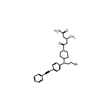 CC(C)CCN(c1ccc(C#Cc2ccccc2)cc1)C1CCN(C(=O)CC(C)CC(N)=O)CC1